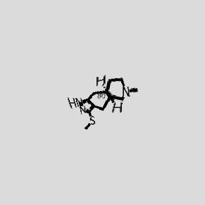 CSc1n[nH]c2c1C[C@H]1CN(C)CC[C@@H]1C2